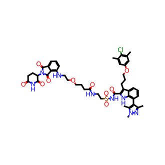 Cc1cc(OCCCc2c(C(=O)NS(=O)(=O)CCNC(=O)CCCOCCNc3cccc4c3C(=O)N(C3CCC(=O)NC3=O)C4=O)[nH]c3c(-c4c(C)nn(C)c4C)cccc23)cc(C)c1Cl